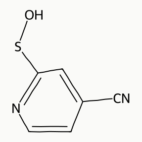 N#Cc1ccnc(SO)c1